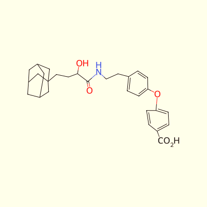 O=C(O)c1ccc(Oc2ccc(CCNC(=O)C(O)CCC34CC5CC(CC(C5)C3)C4)cc2)cc1